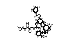 COCCNC(=O)CCC(=O)N1C2=CCCC(O)=C2NC2=C(C(=O)CC(C)(C)C2)C1c1ccc(OCc2ccccc2)cc1Cl